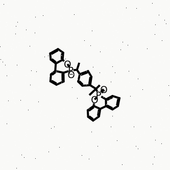 CC(c1ccc(C(C)(C)P2(=O)Oc3ccccc3-c3ccccc32)cc1)P1(=O)Oc2ccccc2-c2ccccc21